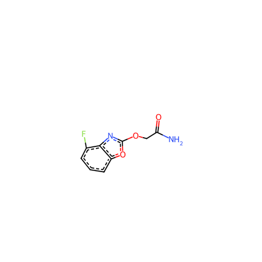 NC(=O)COc1nc2c(F)cccc2o1